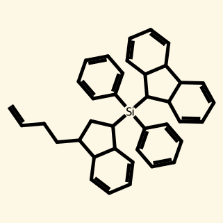 C=CCCC1CC([Si](c2ccccc2)(c2ccccc2)C2C3C=CC=CC3C3C=CC=CC32)C2C=CC=CC12